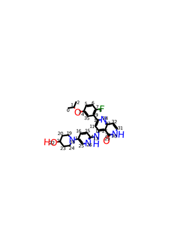 CC(C)Oc1ccc(F)c(-c2cc(Nc3ccc(N4CCC(O)CC4)cn3)c3c(=O)[nH]ccc3n2)c1